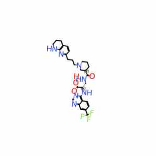 O=C(NC[C@H](Nc1ncnc2cc(C(F)(F)F)ccc12)C(=O)O)[C@@H]1CCCN(CCCc2ccc3c(n2)NCCC3)C1